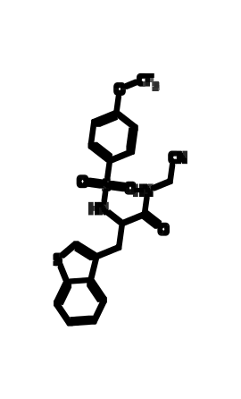 N#CCNC(=O)C(Cc1csc2ccccc12)NS(=O)(=O)c1ccc(OC(F)(F)F)cc1